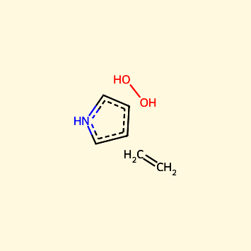 C=C.OO.c1cc[nH]c1